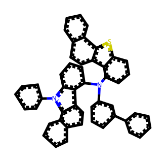 c1ccc(-c2cccc(N(c3cccc4sc5c6ccccc6ccc5c34)c3cccc4c3c3ccc5ccccc5c3n4-c3ccccc3)c2)cc1